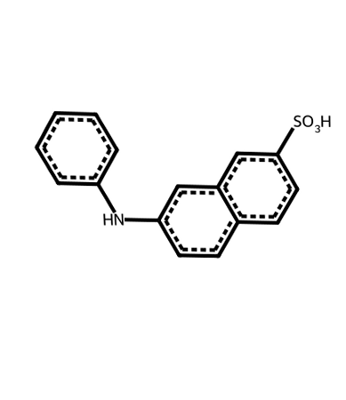 O=S(=O)(O)c1ccc2ccc(Nc3ccccc3)cc2c1